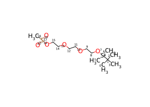 CC(C)(C)[Si](C)(C)OCCOCCOCCOS(C)(=O)=O